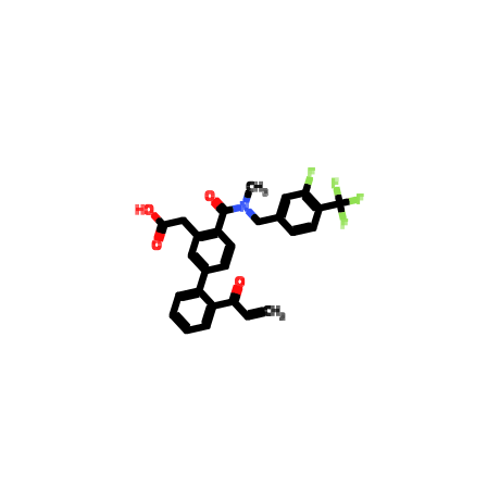 C=CC(=O)c1ccccc1-c1ccc(C(=O)N(C)Cc2ccc(C(F)(F)F)c(F)c2)c(CC(=O)O)c1